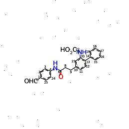 O=Cc1ccc(NC(=O)CCc2ccc(-c3ccccc3)c(NC(=O)O)c2)cc1